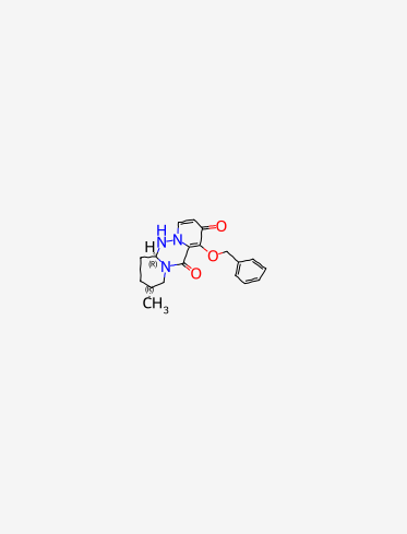 C[C@@H]1CC[C@H]2Nn3ccc(=O)c(OCc4ccccc4)c3C(=O)N2C1